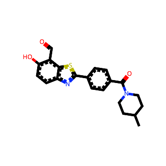 CC1CCN(C(=O)c2ccc(-c3nc4ccc(O)c(C=O)c4s3)cc2)CC1